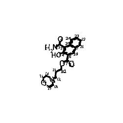 NC(=O)c1c(O)c(C(=O)OCCCN2CCOCC2)cc2ccccc12